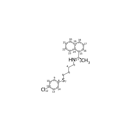 C[C@@H](NCCCCSc1ccc(Cl)cc1)c1cccc2ccccc12